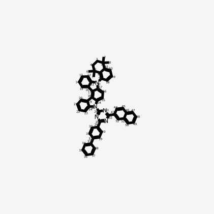 CC1(C)CCC(C)(C)c2c(-n3c4ccccc4c4c5c6ccccc6n(-c6nc(-c7ccc(-c8ccccc8)cc7)nc(-c7ccc8ccccc8c7)n6)c5ccc43)cccc21